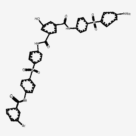 CNc1ccc(S(=O)(=O)c2ccc(NC(=O)c3cc(O)cc(C(=O)Nc4ccc(S(=O)(=O)c5ccc(NC(=O)c6cccc(C(C)=O)c6)cc5)cc4)c3)cc2)cc1